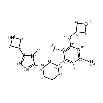 Cn1c(C2CNC2)nnc1[C@H]1CCC[C@@H](c2nc(N)nc(OC3COC3)c2C(F)(F)F)C1